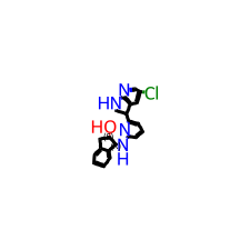 O[C@H]1Cc2ccccc2[C@H]1Nc1cccc(C2CNc3ncc(Cl)cc32)n1